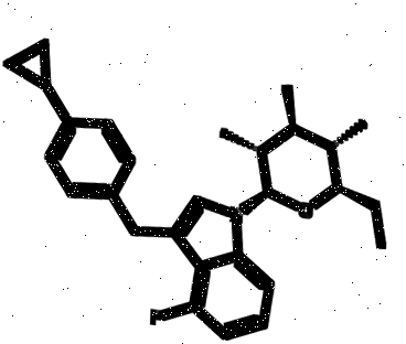 CC[C@H]1O[C@@H](n2cc(Cc3ccc(C4CC4)cc3)c3c(F)cccc32)[C@H](C)[C@@H](C)[C@@H]1C